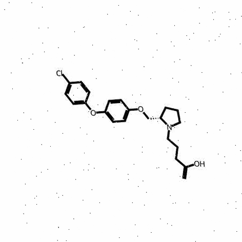 C=C(O)CCCN1CCC[C@H]1COc1ccc(Oc2ccc(Cl)cc2)cc1